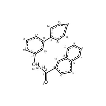 NC(=O)c1ccc2ccccc2c1.Oc1cccc(-c2ccccc2)c1